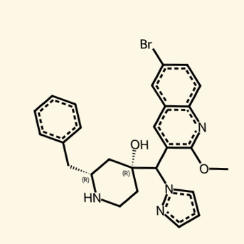 COc1nc2ccc(Br)cc2cc1C(n1cccn1)[C@@]1(O)CCN[C@H](Cc2ccccc2)C1